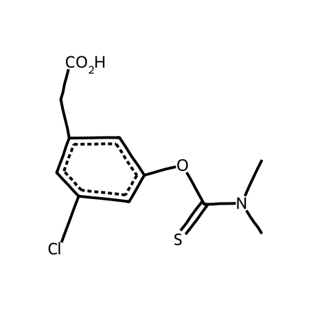 CN(C)C(=S)Oc1cc(Cl)cc(CC(=O)O)c1